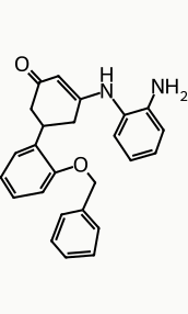 Nc1ccccc1NC1=CC(=O)CC(c2ccccc2OCc2ccccc2)C1